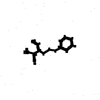 O=S=C(CCCc1ccccc1)C(=O)O